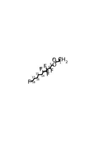 C=CC(=O)OCC(F)C(F)C(F)C(F)CCCCCF